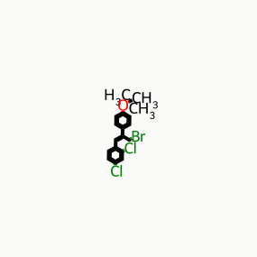 CC(C)(C)Oc1ccc(C(=Cc2ccc(Cl)cc2Cl)CBr)cc1